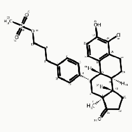 C[C@]12C[C@H](c3ccc(CCCOS(C)(=O)=O)cc3)[C@@H]3c4ccc(O)c(Cl)c4CC[C@H]3[C@@H]1CCC2=O